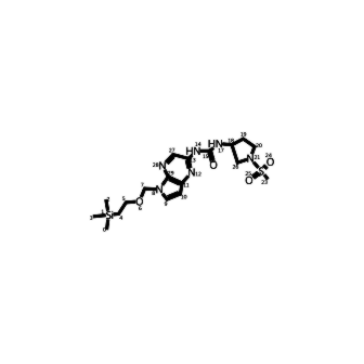 C[Si](C)(C)CCOCn1ccc2nc(NC(=O)NC3CCN(S(C)(=O)=O)C3)cnc21